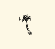 CC(C)(C)C(CCCCCCC#CCCCCOC1CCCCO1)O[SiH](c1ccccc1)c1ccccc1